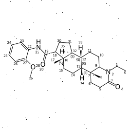 CCN1C(=O)CC[C@@]2(C)C1CC[C@@H]1[C@H]2CC[C@]2(C)C(C(=O)Nc3ccccc3OC)CC[C@@H]12